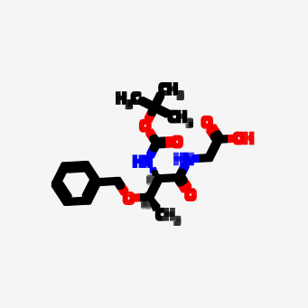 C[C@@H](OCc1ccccc1)[C@H](NC(=O)OC(C)(C)C)C(=O)NCC(=O)O